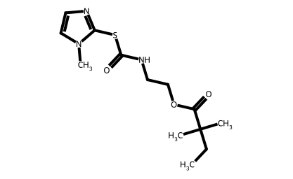 CCC(C)(C)C(=O)OCCNC(=O)Sc1nccn1C